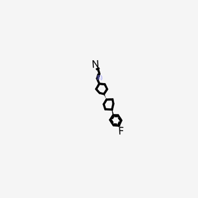 N#C/C=C/C1CCC([C@H]2CC[C@H](c3ccc(F)cc3)CC2)CC1